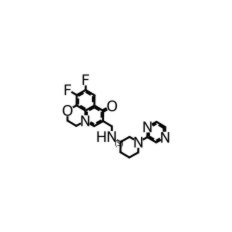 O=c1c(CN[C@H]2CCCN(c3cnccn3)C2)cn2c3c(c(F)c(F)cc13)OCC2